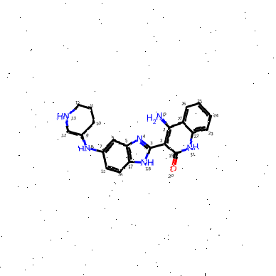 Nc1c(-c2nc3cc(NC4CCCNC4)ccc3[nH]2)c(=O)[nH]c2ccccc12